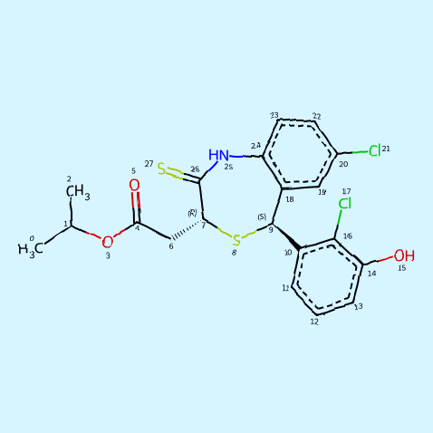 CC(C)OC(=O)C[C@H]1S[C@H](c2cccc(O)c2Cl)c2cc(Cl)ccc2NC1=S